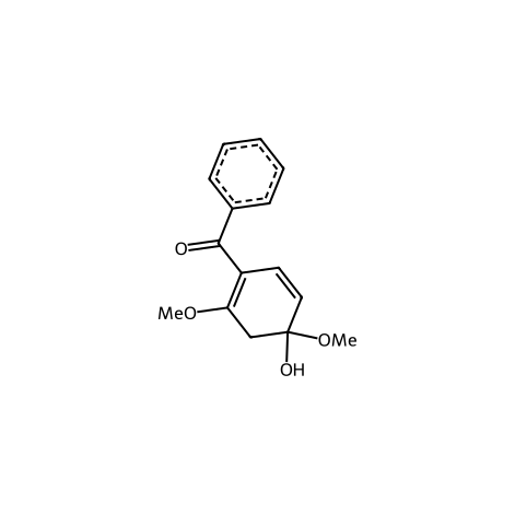 COC1=C(C(=O)c2ccccc2)C=CC(O)(OC)C1